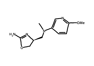 COc1ccc(N(C)C[C@H]2COC(N)=N2)cn1